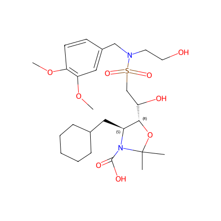 COc1ccc(CN(CCO)S(=O)(=O)CC(O)[C@@H]2OC(C)(C)N(C(=O)O)[C@H]2CC2CCCCC2)cc1OC